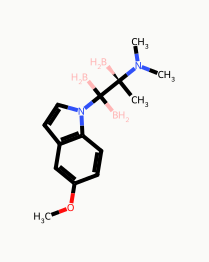 BC(B)(n1ccc2cc(OC)ccc21)[C@@](B)(C)N(C)C